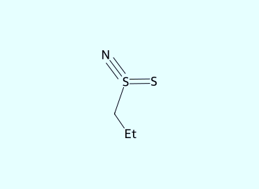 CCCS(#N)=S